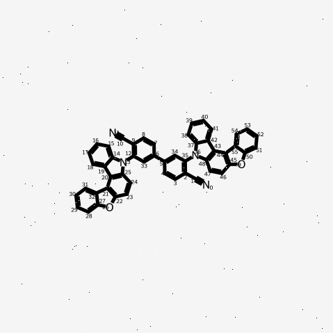 N#Cc1ccc(-c2ccc(C#N)c(-n3c4ccccc4c4c5c(ccc43)oc3ccccc35)c2)cc1-n1c2ccccc2c2c3c(ccc21)oc1ccccc13